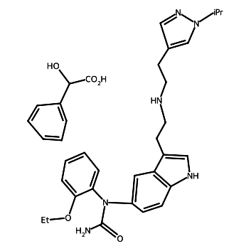 CCOc1ccccc1N(C(N)=O)c1ccc2[nH]cc(CCNCCc3cnn(C(C)C)c3)c2c1.O=C(O)C(O)c1ccccc1